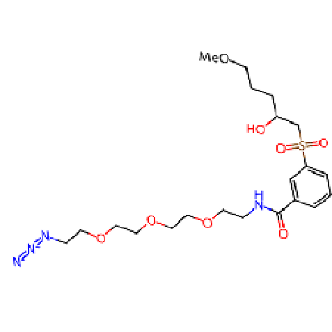 COCCCC(O)CS(=O)(=O)c1cccc(C(=O)NCCOCCOCCOCCN=[N+]=[N-])c1